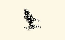 Cc1cc(Cn2nc(C)c3c(Cl)c(C(=O)Nc4ccc(Cl)cc4)cnc32)n(C)n1